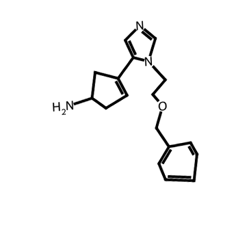 NC1CC=C(c2cncn2CCOCc2ccccc2)C1